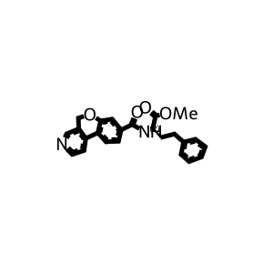 COC(=O)[C@@H](CCc1ccccc1)NC(=O)c1ccc2c(c1)OCc1cnccc1-2